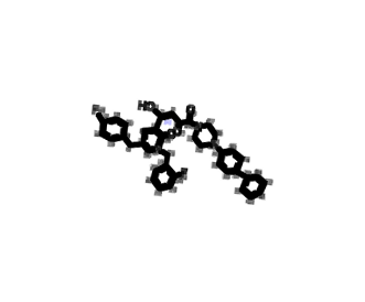 O=C(/C=C(/O)c1cc(Cc2ccc(F)cc2)cn(Cc2ccccc2F)c1=O)C(=O)N1CCN(c2ccc(-c3ccccc3)cc2)CC1